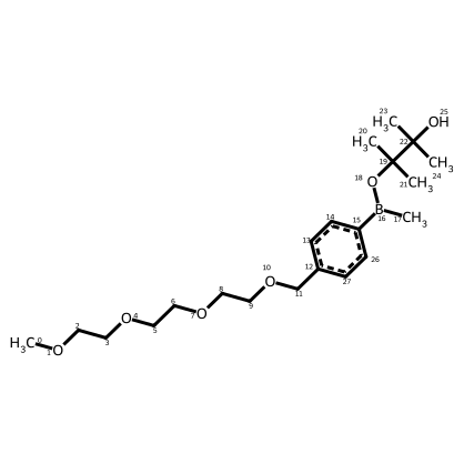 COCCOCCOCCOCc1ccc(B(C)OC(C)(C)C(C)(C)O)cc1